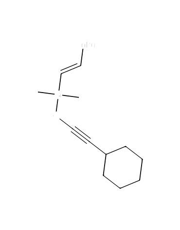 CCCCC=C[Si](C)(C)OC#CC1CCCCC1